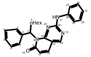 CCCCCCC(c1ccccc1)n1c(=O)ccc2cnc(Nc3ccccc3)nc21